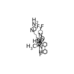 CCC(=O)Nc1c(-c2cccc(F)c2)cccc1S(=O)(=O)N[C@@H](CCCc1ccc(N)cn1)C(=O)N1CCC(=C(F)F)CC1